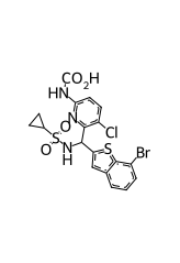 O=C(O)Nc1ccc(Cl)c(C(NS(=O)(=O)C2CC2)c2cc3cccc(Br)c3s2)n1